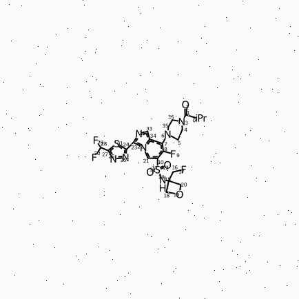 CC(C)C(=O)N1CCN(c2c(F)c(S(=O)(=O)NC3(CF)COC3)cn3c(-c4nnc(C(F)F)s4)ncc23)CC1